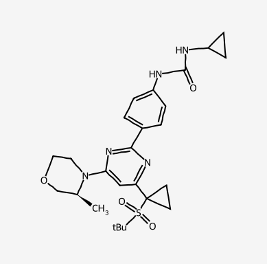 C[C@H]1COCCN1c1cc(C2(S(=O)(=O)C(C)(C)C)CC2)nc(-c2ccc(NC(=O)NC3CC3)cc2)n1